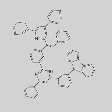 C1=CCCC(c2cc(-c3ccccc3)c3c(n2)c(-c2cccc(C4=NC(c5ccccc5)=CC(c5cccc(-n6c7ccccc7c7ccccc76)c5)N4)c2)cc2ccccc23)=C1